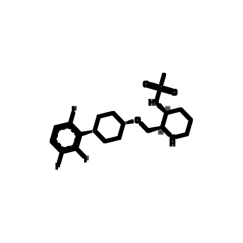 CS(=O)(=O)N[C@H]1CCCN[C@H]1CO[C@H]1CC[C@@H](c2c(F)ccc(F)c2F)CC1